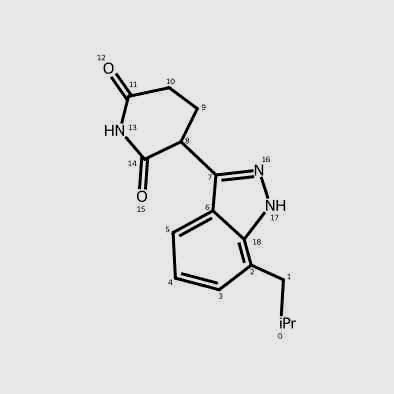 CC(C)Cc1cccc2c(C3CCC(=O)NC3=O)n[nH]c12